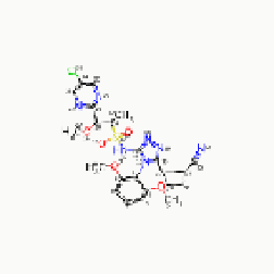 COc1cccc(OC)c1-n1c(NS(=O)(=O)C(C)C(OC)c2ncc(Cl)cn2)nnc1[C@@H]1CC[C@@H]1C#N